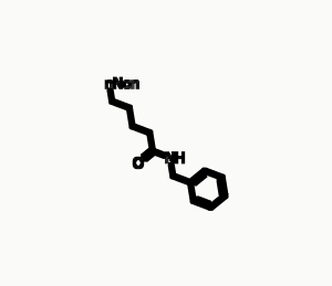 CCCCCCCCCCCCCC(=O)NCc1ccccc1